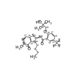 CCCCn1c(=NC(=O)c2cc(C(F)(F)F)ccc2OCC(C)(C)O)sc2cnn(C)c(=O)c21